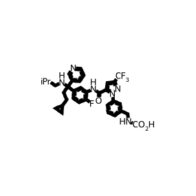 CC(C)CNC(CCC1CC1)(c1cccnc1)c1ccc(F)c(NC(=O)c2cc(C(F)(F)F)nn2-c2cccc(CNC(=O)O)c2)c1